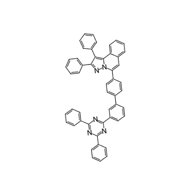 c1ccc(-c2nc(-c3ccccc3)nc(-c3cccc(-c4ccc(-c5cc6ccccc6c6c(-c7ccccc7)c(-c7ccccc7)nn56)cc4)c3)n2)cc1